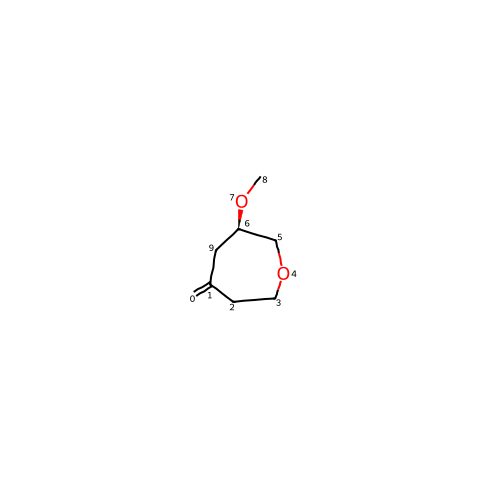 C=C1CCOC[C@H](OC)C1